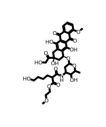 COCCOC(=O)C(CCCCO)C(=O)NC1CC(O[C@H]2C[C@](O)(C(=O)CO)Cc3c(O)c4c(c(O)c32)C(=O)c2c(OC)cccc2C4=O)OC(C)C1O